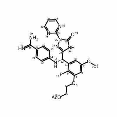 CCOc1cc(OCCOC(C)=O)c(F)c([C@H](Nc2ccc(C(=N)N)cc2)c2nn(-c3ncccn3)c(=O)[nH]2)c1